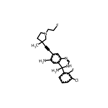 CC1(C#Cc2cc3c(cc2N)C(N)(c2cccc(Cl)c2F)NC=N3)CCN(CCF)C1